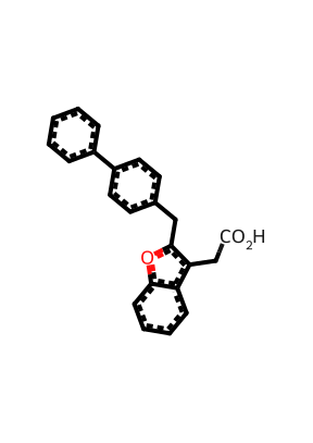 O=C(O)Cc1c(Cc2ccc(-c3ccccc3)cc2)oc2ccccc12